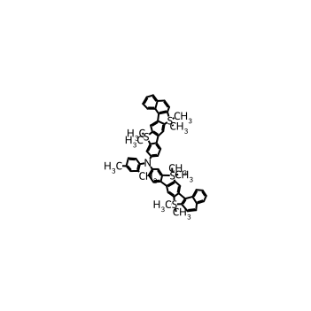 Cc1ccc(N(c2ccc3c(c2)S(C)(C)c2cc4c(cc2-3)S(C)(C)c2ccc3ccccc3c2-4)c2ccc3c(c2)S(C)(C)c2cc4c(cc2-3)S(C)(C)c2ccc3ccccc3c2-4)c(C)c1